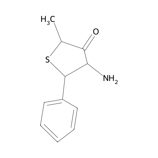 CC1SC(c2ccccc2)C(N)C1=O